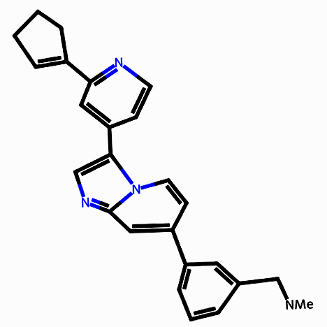 CNCc1cccc(-c2ccn3c(-c4ccnc(C5=CCCC5)c4)cnc3c2)c1